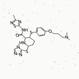 Cc1nsc(NC(=O)C2NC(Sc3nncn3C)CCC2Sc2ccc(OCCCN(C)C)cc2)n1